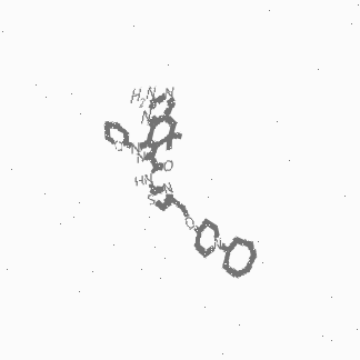 CC1(C)Cc2cnc(N)nc2-c2c1c(C(=O)Nc1nc(COC3CCN(C4CCCCCC4)CC3)cs1)nn2C1CCCCO1